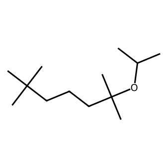 CC(C)OC(C)(C)CCCC(C)(C)C